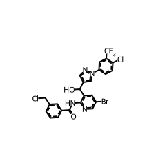 O=C(Nc1ncc(Br)cc1C(O)c1cnn(-c2ccc(Cl)c(C(F)(F)F)c2)c1)c1cccc(CCl)c1